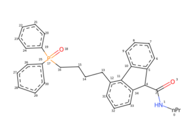 CCCNC(=O)C1c2ccccc2-c2c(CCCCP(=O)(c3ccccc3)c3ccccc3)cccc21